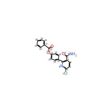 NC(=O)c1ccc(Cl)nc1-c1ccc(OC(=O)c2ccccc2)cc1